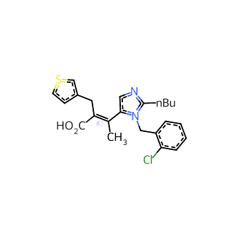 CCCCc1ncc(/C(C)=C(\Cc2ccsc2)C(=O)O)n1Cc1ccccc1Cl